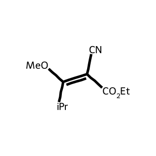 CCOC(=O)C(C#N)=C(OC)C(C)C